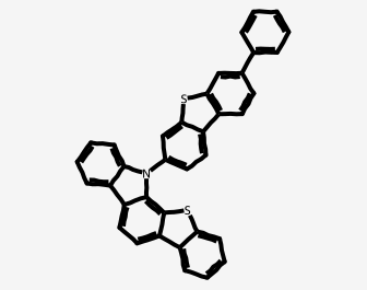 c1ccc(-c2ccc3c(c2)sc2cc(-n4c5ccccc5c5ccc6c7ccccc7sc6c54)ccc23)cc1